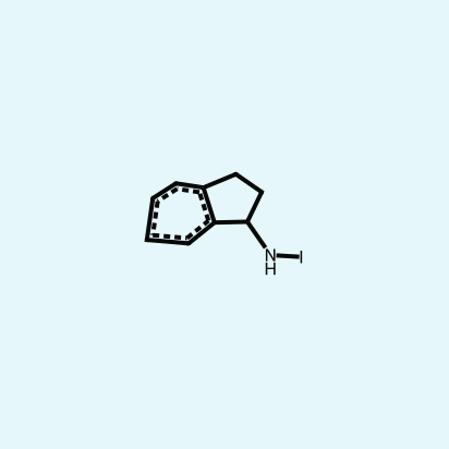 INC1CCc2ccccc21